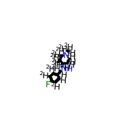 [2H]c1c([2H])c(C([2H])([2H])NC2([2H])C([2H])([2H])C([2H])([2H])N(C([2H])([2H])[2H])C([2H])([2H])C2([2H])[2H])c([2H])c([2H])c1F